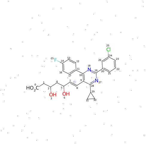 O=C(O)CC(O)CC(O)/C=C/c1c(-c2ccc(F)cc2)nc(-c2cccc(Cl)c2)nc1C1CC1